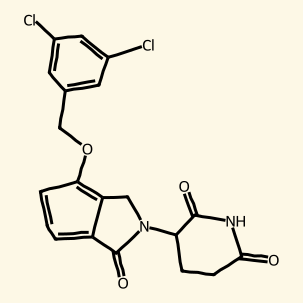 O=C1CCC(N2Cc3c(OCc4cc(Cl)cc(Cl)c4)cccc3C2=O)C(=O)N1